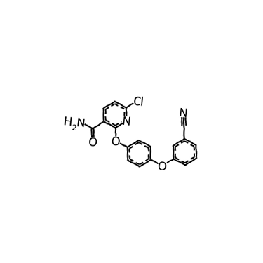 N#Cc1cccc(Oc2ccc(Oc3nc(Cl)ccc3C(N)=O)cc2)c1